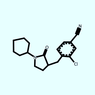 N#Cc1ccc(CC2CCN(C3CCCCC3)C2=O)c(Cl)c1